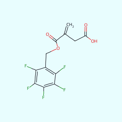 C=C(CC(=O)O)C(=O)OCc1c(F)c(F)c(F)c(F)c1F